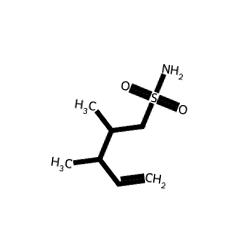 C=CC(C)C(C)CS(N)(=O)=O